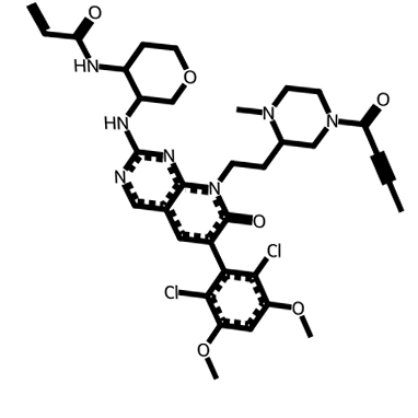 C=CC(=O)NC1CCOCC1Nc1ncc2cc(-c3c(Cl)c(OC)cc(OC)c3Cl)c(=O)n(CCC3CN(C(=O)C#CC)CCN3C)c2n1